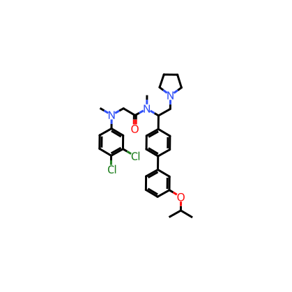 CC(C)Oc1cccc(-c2ccc(C(CN3CCCC3)N(C)C(=O)CN(C)c3ccc(Cl)c(Cl)c3)cc2)c1